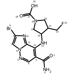 NC(=O)c1cnn2cc(Br)nc2c1NC1CN(C(=O)O)CC1CF